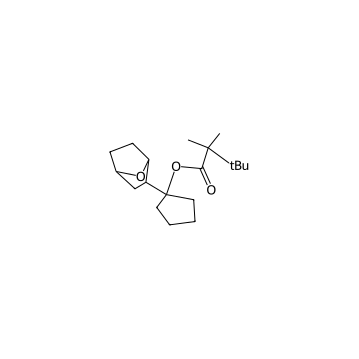 CC(C)(C)C(C)(C)C(=O)OC1(C2CC3CCC2O3)CCCC1